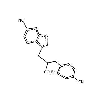 CCOC(=O)C(Cc1ccc(C#N)cc1)Cn1cnc2cc(C#N)ccc21